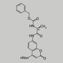 CCCCCCCCCc1cc(=O)oc2cc(NC(=O)[C@H](C)NC(=O)OCc3ccccc3)ccc12